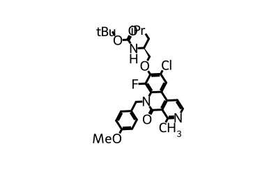 COc1ccc(Cn2c(=O)c3c(C)nccc3c3cc(Cl)c(OC[C@H](CC(C)C)NC(=O)OC(C)(C)C)c(F)c32)cc1